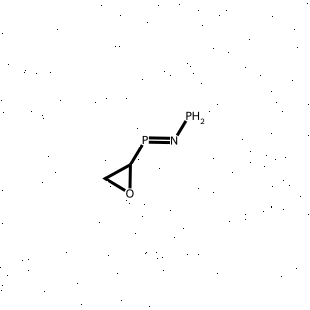 PN=PC1CO1